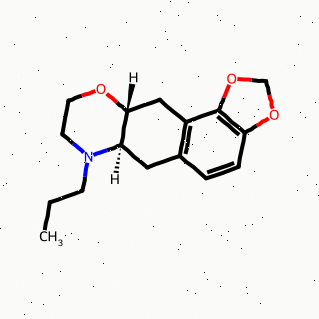 CCCN1CCO[C@@H]2Cc3c(ccc4c3OCO4)C[C@H]21